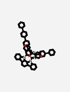 c1ccc(-c2ccc(-c3ccc(-c4cc(-c5ccccc5)cc(-n5c6ccccc6c6ccc7c8ccccc8n(-c8nc(-c9ccccc9)nc(-c9ccc(-c%10ccccc%10)cc9)n8)c7c65)c4)cc3)cc2)cc1